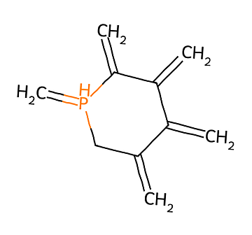 C=C1C[PH](=C)C(=C)C(=C)C1=C